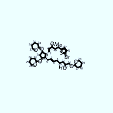 COC(C=C[C@@H]1[C@@H](CC=CCCCC(O)COC2CCCCO2)[C@@H](OC2CCCCO2)C[C@H]1OC1CCCCO1)CCc1ccc(Br)s1